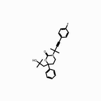 CC(C)(O)CC1(c2ccccc2)CCN(C(C)(C)C#Cc2ccc(F)cc2)C(=O)O1